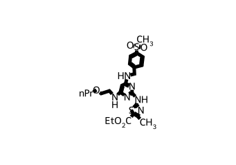 CCCOCCNc1cc(NCc2ccc(S(C)(=O)=O)cc2)nc(Nc2nc(C)c(C(=O)OCC)s2)n1